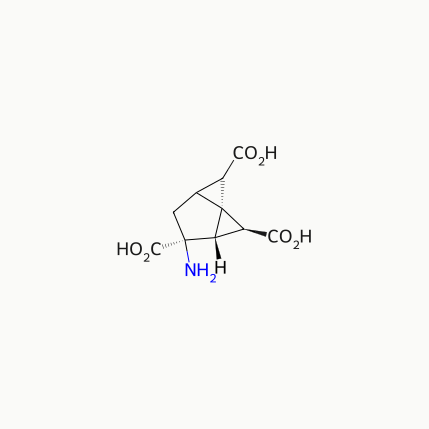 N[C@@]1(C(=O)O)CC2C(C(=O)O)[C@@]23[C@@H](C(=O)O)[C@@H]31